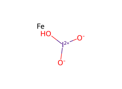 [Fe].[O-][I+2]([O-])O